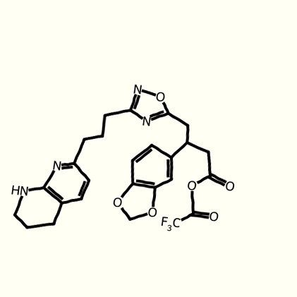 O=C(CC(Cc1nc(CCCc2ccc3c(n2)NCCC3)no1)c1ccc2c(c1)OCO2)OC(=O)C(F)(F)F